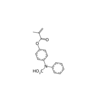 C=C(C)C(=O)Oc1ccc(N(C(=O)O)c2ccccc2)cc1